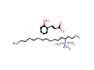 CCCCCCCCCCCCC(CCC)[N+](C)(C)C.O=C([O-])/C=C/c1ccccc1O